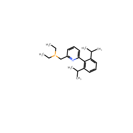 CCP(CC)Cc1cccc(-c2c(C(C)C)cccc2C(C)C)n1